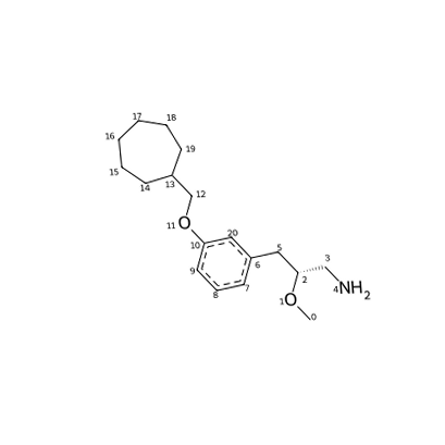 CO[C@@H](CN)Cc1cccc(OCC2CCCCCC2)c1